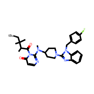 CC(C(=O)n1c(N(C)C2CCN(c3nc4ccccc4n3Cc3ccc(F)cc3)CC2)nccc1=O)C(C)(C)CC(C)(C)C